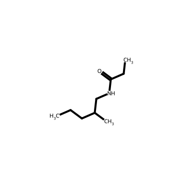 CCCC(C)CNC(=O)CC